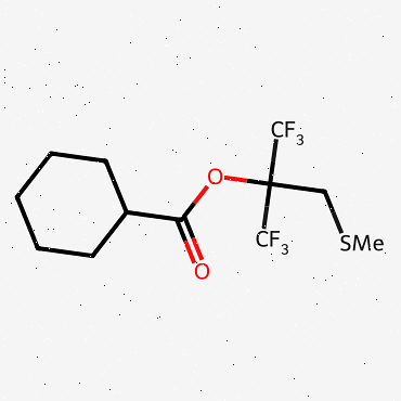 CSCC(OC(=O)C1CCCCC1)(C(F)(F)F)C(F)(F)F